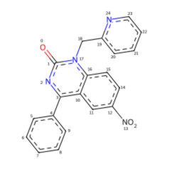 O=c1nc(-c2ccccc2)c2cc([N+](=O)[O-])ccc2n1Cc1ccccn1